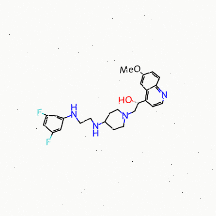 COc1ccc2nccc([C@@H](O)CN3CCC(NCCNc4cc(F)cc(F)c4)CC3)c2c1